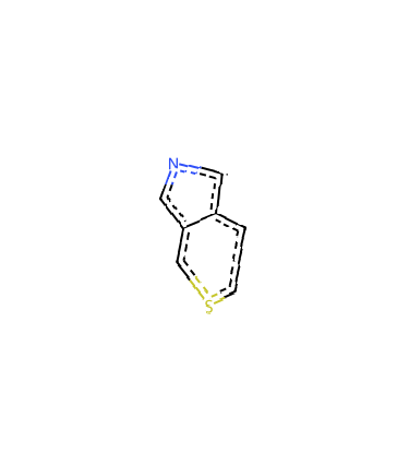 [c]1ncc2csccc1-2